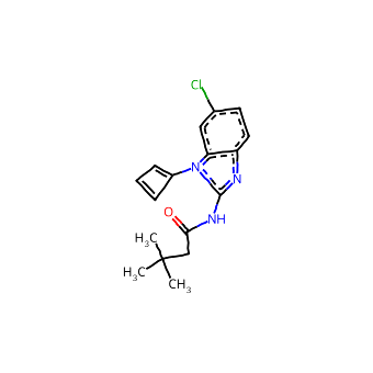 CC(C)(C)CC(=O)Nc1nc2ccc(Cl)cc2n1C1=CC=C1